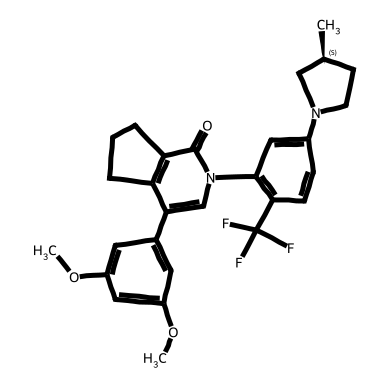 COc1cc(OC)cc(-c2cn(-c3cc(N4CC[C@H](C)C4)ccc3C(F)(F)F)c(=O)c3c2CCC3)c1